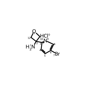 Cl.NC1(c2ccc(Br)cn2)COC1